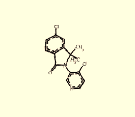 CC1(C)c2cc(Cl)ccc2C(=O)N1c1cnccc1Cl